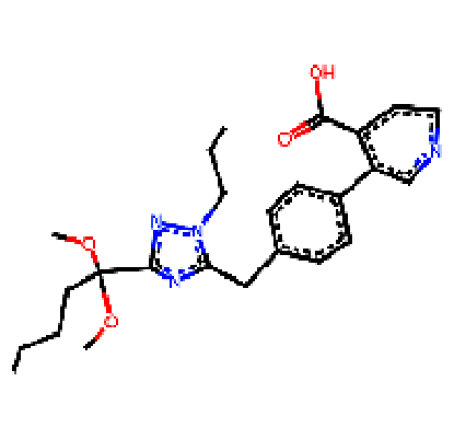 CCCCC(OC)(OC)c1nc(Cc2ccc(-c3cnccc3C(=O)O)cc2)n(CCC)n1